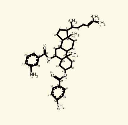 CC(C)=CCCC(C)C1CCC2C3CC(OC(=O)c4cccc(N)c4)C4CC(OC(=O)c5ccc(N)cc5)CCC4(C)C3CCC12C